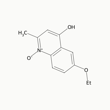 CCOc1ccc2c(c1)c(O)cc(C)[n+]2[O-]